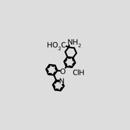 Cl.NC1(C(=O)O)CCc2ccc(Oc3ccccc3-c3ccccn3)cc2C1